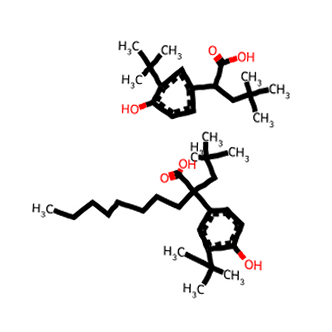 CC(C)(C)CC(C(=O)O)c1ccc(O)c(C(C)(C)C)c1.CCCCCCCCC(CC(C)(C)C)(C(=O)O)c1ccc(O)c(C(C)(C)C)c1